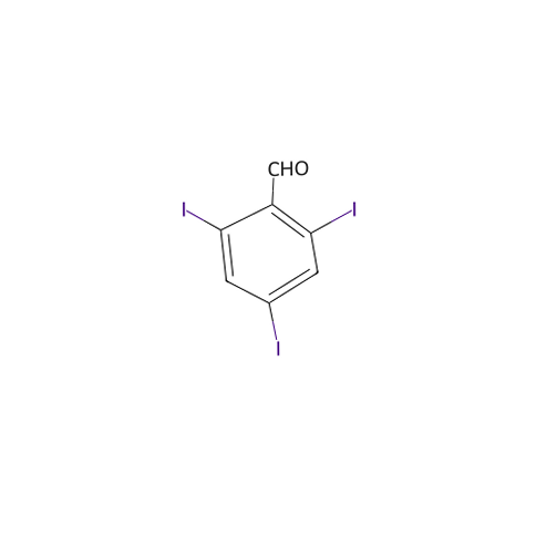 O=Cc1c(I)cc(I)cc1I